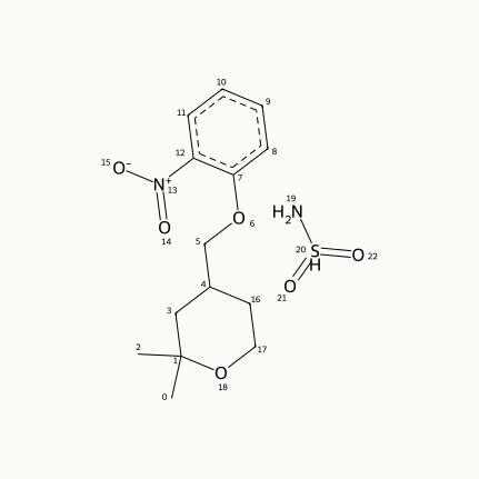 CC1(C)CC(COc2ccccc2[N+](=O)[O-])CCO1.N[SH](=O)=O